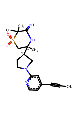 CC#Cc1ccnc(N2CC[C@@H]([C@]3(C)CS(=O)(=O)C(C)(C)C(=N)N3)C2)c1